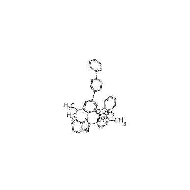 Cc1ccc(-c2nc3ccccc3n2-c2c(C(C)C)cc(-c3ccc(-c4ccccc4)cc3)cc2C(C)C)c2oc3ccccc3c12